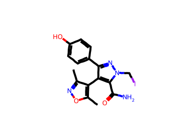 Cc1noc(C)c1-c1c(-c2ccc(O)cc2)nn(CI)c1C(N)=O